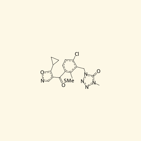 CSc1c(C(=O)c2cnoc2C2CC2)ccc(Cl)c1Cn1nnn(C)c1=O